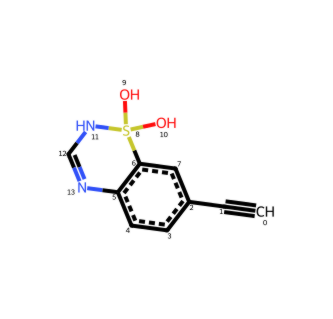 C#Cc1ccc2c(c1)S(O)(O)N[C]=N2